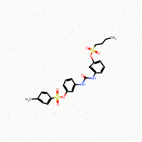 CCCCS(=O)(=O)Oc1cccc(NC(=O)Nc2cccc(OS(=O)(=O)c3ccc(C)cc3)c2)c1